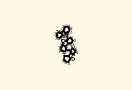 c1ccc2c(c1)sc1cccc(-c3cccc4sc5c(-n6c7ccccc7c7ccccc76)cccc5c34)c12